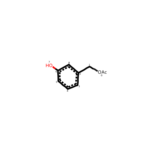 CC(=O)OCc1cccc(O)c1